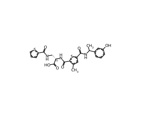 Cc1cc(C(=O)NC(C)c2cccc(O)c2)sc1C(=O)N[C@@H](CNC(=O)c1cccs1)C(=O)O